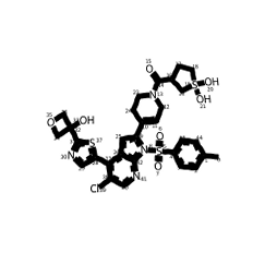 Cc1ccc(S(=O)(=O)n2c(C3=CCN(C(=O)C4CCS(O)(O)C4)CC3)cc3c(-c4cnc(C5(O)COC5)s4)c(Cl)cnc32)cc1